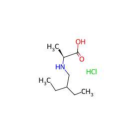 CCC(CC)CN[C@@H](C)C(=O)O.Cl